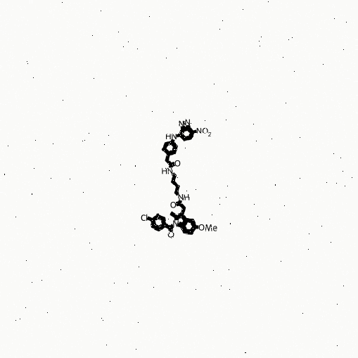 COc1ccc2c(c1)c(CC(=O)NCCCCNC(=O)Cc1ccc(Nc3ccc([N+](=O)[O-])c4c3=NN=4)cc1)c(C)n2C(=O)c1ccc(Cl)cc1